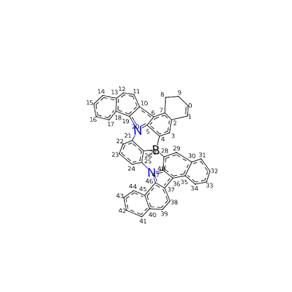 C1=Cc2cc3c4c(c2CC1)c1ccc2ccccc2c1n4-c1cccc2c1B3c1cc3ccccc3c3c4ccc5ccccc5c4n-2c13